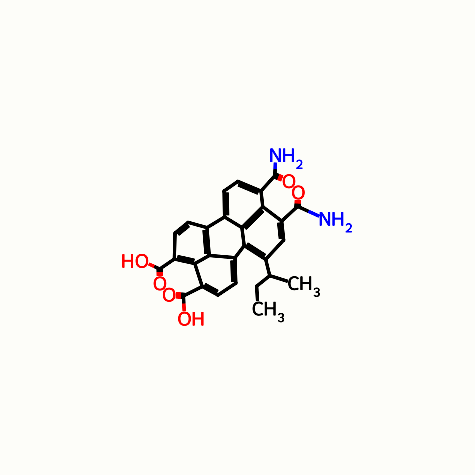 CCC(C)c1cc(C(N)=O)c2c(C(N)=O)ccc3c4ccc(C(=O)O)c5c(C(=O)O)ccc(c1c23)c54